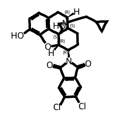 O=C1c2cc(Cl)c(Cl)cc2C(=O)N1[C@@H]1CC[C@@]2(O)[C@H]3Cc4ccc(O)c5c4[C@@]2(CCN3CC2CC2)[C@H]1O5